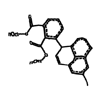 CCCCCCCCOC(=O)c1cccc(C2C=Cc3cc(C)cc4cccc2c34)c1C(=O)OCCCCCCCC